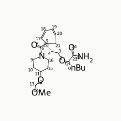 CCCC[C@H](OCC[C@]1(C(=O)N2CCC(OCOC)CC2)C=CC=CC1)C(N)=O